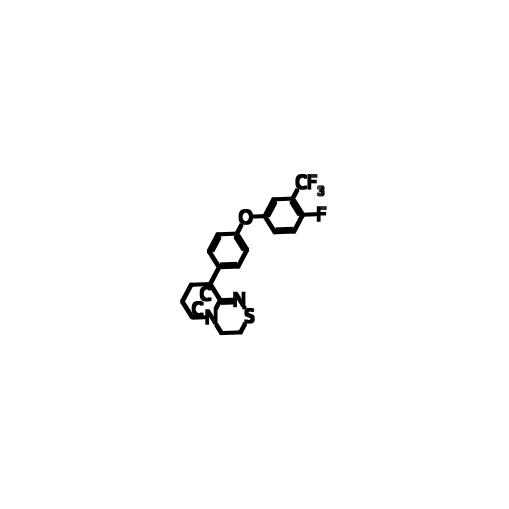 Fc1ccc(Oc2ccc(C34CCC(CC3)N3CCSN=C34)cc2)cc1C(F)(F)F